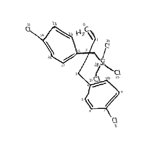 C=CC(Cc1ccc(Cl)cc1)(c1ccc(Cl)cc1)[Si](Cl)(Cl)Cl